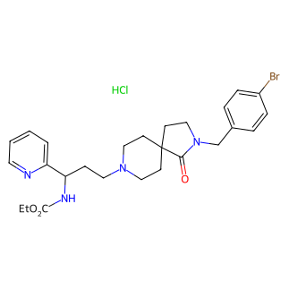 CCOC(=O)NC(CCN1CCC2(CC1)CCN(Cc1ccc(Br)cc1)C2=O)c1ccccn1.Cl